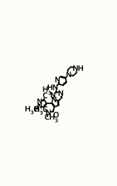 Cc1nn(C)cc1-c1c(C(=O)N(C)C)cc2cnc(Nc3ccc(N4CCNCC4)cn3)nn12